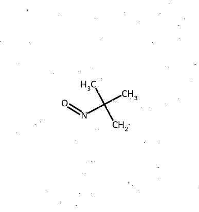 [CH2]C(C)(C)N=O